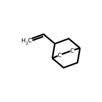 C=CC1CC2CCC1CC2